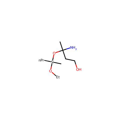 CCC[Si](C)(OCC)OC(C)(N)CCO